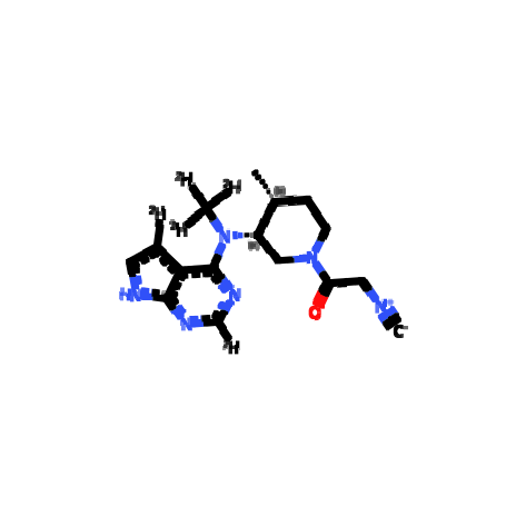 [2H]c1nc(N([C@H]2CN(C(=O)C[N+]#[C-])CC[C@H]2C)C([2H])([2H])[2H])c2c([2H])c[nH]c2n1